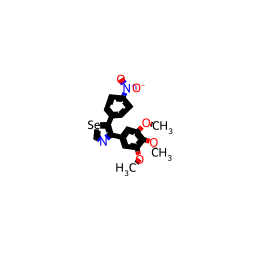 COc1cc(-c2nc[se]c2-c2ccc([N+](=O)[O-])cc2)cc(OC)c1OC